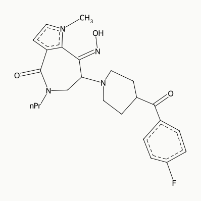 CCCN1CC(N2CCC(C(=O)c3ccc(F)cc3)CC2)C(=NO)c2c(ccn2C)C1=O